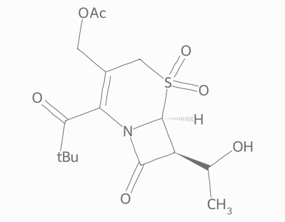 CC(=O)OCC1=C(C(=O)C(C)(C)C)N2C(=O)[C@H](C(C)O)[C@@H]2S(=O)(=O)C1